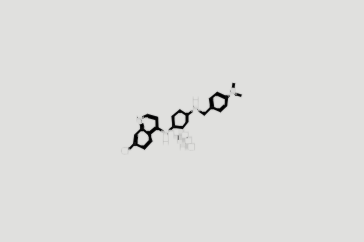 CN(C)c1ccc(CNC2CCC(Nc3ccnc4cc(Cl)ccc34)CC2)cc1.Cl.Cl.Cl